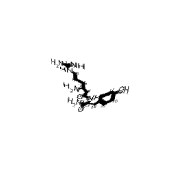 N=C(N)NCCC[C@H](N)CC(=O)N[C@@H](Cc1ccc(O)cc1)C(N)=O